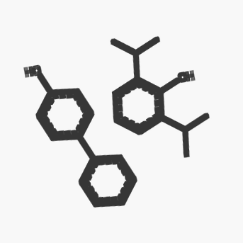 CC(C)c1cccc(C(C)C)c1O.Oc1ccc(-c2ccccc2)cc1